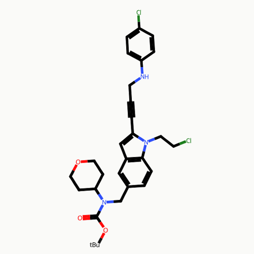 CC(C)(C)OC(=O)N(Cc1ccc2c(c1)cc(C#CCNc1ccc(Cl)cc1)n2CCCl)C1CCOCC1